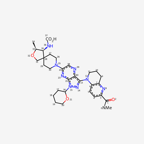 CNC(=O)c1ccc2c(n1)CCCN2c1nn(C2CCCCO2)c2nc(N3CCC4(CC3)CO[C@@H](C)[C@H]4NC(=O)O)cnc12